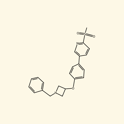 CS(=O)(=O)c1ccc(-c2ccc(OC3CN(Cc4ccccc4)C3)cc2)cn1